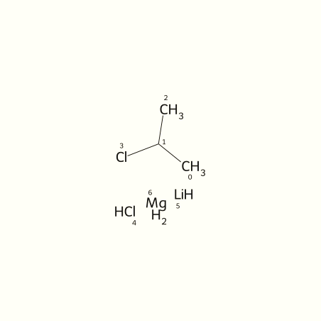 CC(C)Cl.Cl.[LiH].[MgH2]